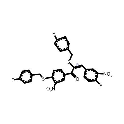 O=C(/C(=C\c1ccc(F)c([N+](=O)[O-])c1)SCc1ccc(F)cc1)c1ccc(SCc2ccc(F)cc2)c([N+](=O)[O-])c1